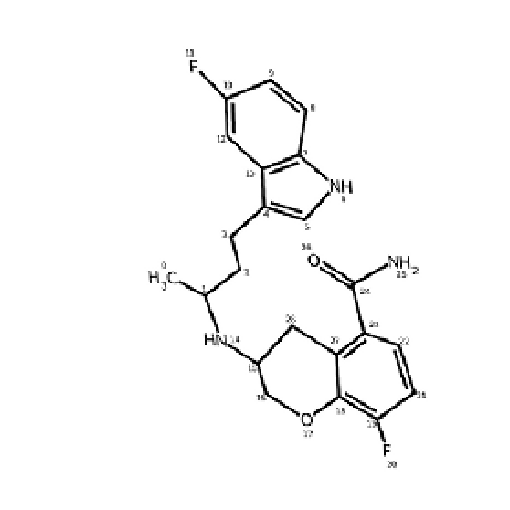 CC(CCc1c[nH]c2ccc(F)cc12)NC1COc2c(F)ccc(C(N)=O)c2C1